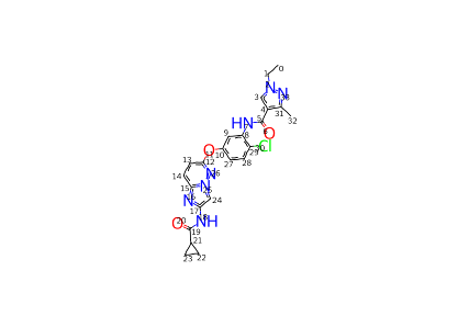 CCn1cc(C(=O)Nc2cc(Oc3ccc4nc(NC(=O)C5CC5)cn4n3)ccc2Cl)c(C)n1